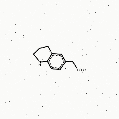 O=C(O)Cc1ccc2c(c1)CCCN2